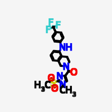 Cn1cc(C(=O)N2CCc3c(cccc3Nc3ccc(C(F)(F)F)cc3)C2)nc1S(C)(=O)=O